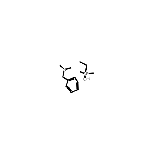 CC[N+](C)(C)O.CN(C)Cc1ccccc1